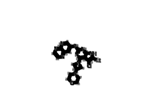 CCc1[nH]c2nc(Sc3cnc4nccnc4c3)nc(N3CC(N4CCOCC4)C3)c2c1Cl